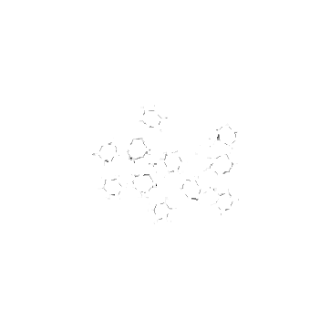 CC1(C)c2ccccc2-c2ccc(N(c3ccccc3)c3cccc(-c4cccc(N(c5nc(-c6ccccc6)cc(-c6ccccc6)n5)c5nc(-c6ccccc6)cc(-c6ccccc6)n5)c4)c3)cc21